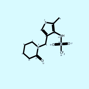 Cc1scc(CN2CCCCC2=O)c1NS(=O)(=O)C(F)(F)F